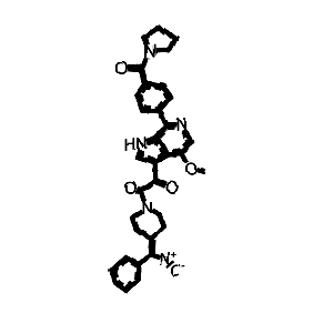 [C-]#[N+]C(=C1CCN(C(=O)C(=O)c2c[nH]c3c(-c4ccc(C(=O)N5CCCC5)cc4)ncc(OC)c23)CC1)c1ccccc1